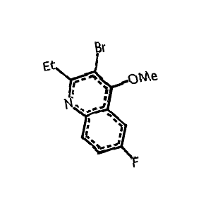 CCc1nc2ccc(F)cc2c(OC)c1Br